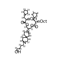 CCCCCCCCC(CC1CCCC1)C(=O)OCC(COC(=O)C(CCCCCCCC)CC1CCCC1)N1CCC2(CCN(CCCCO)CC2)CC1